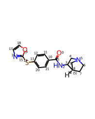 O=C(NC1CN2CC[C@H]1C2)c1ccc(Sc2ncco2)cc1